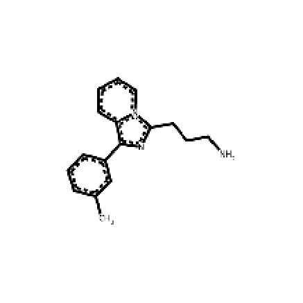 Cc1cccc(-c2nc(CCCN)n3ccccc23)c1